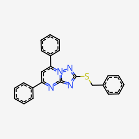 c1ccc(CSc2nc3nc(-c4ccccc4)cc(-c4ccccc4)n3n2)cc1